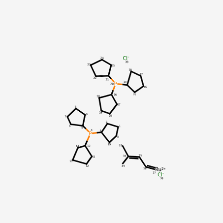 C1CCC(P(C2CCCC2)C2CCCC2)C1.C1CCC(P(C2CCCC2)C2CCCC2)C1.CC(C)=C[CH]=[Ru+2].[Cl-].[Cl-]